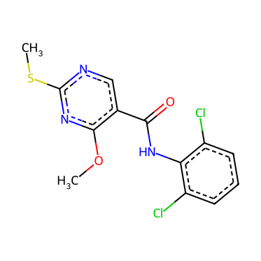 COc1nc(SC)ncc1C(=O)Nc1c(Cl)cccc1Cl